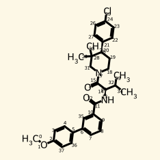 COc1ccc(-c2cccc(C(=O)N[C@@H](C(=O)N3CC[C@H](c4ccc(Cl)cc4)C(C)(C)C3)C(C)C)c2)cc1